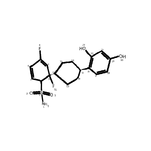 NS(=O)(=O)C1C=CC(F)=CC1(F)[C@H]1CC[C@H](c2ccc(O)cc2O)CC1